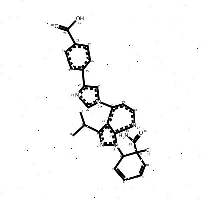 CC(C)c1nn(C2C=CC=CC2(Cl)C(N)=O)c2nccc(-n3cnc(-c4ccc(C(=O)O)cc4)c3)c12